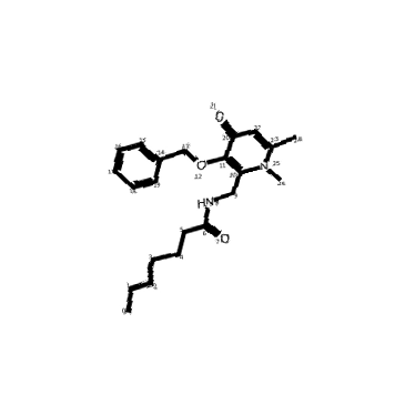 CCCCCCC(=O)NCc1c(OCc2ccccc2)c(=O)cc(C)n1C